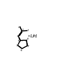 CC(C)=CC1[CH]CCC1.[LiH]